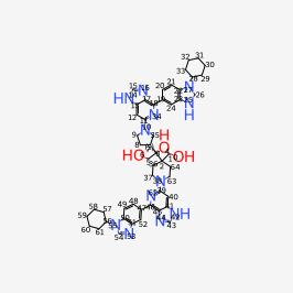 OCC1(C(O)(CO)[C@H]2CCN(c3cc4[nH]cnc4c(-c4ccc5c(c4)NCN5C4CCCCC4)n3)C2)CCN(c2cc3[nH]cnc3c(-c3ccc4c(c3)ncn4C3CCCCC3)n2)CC1